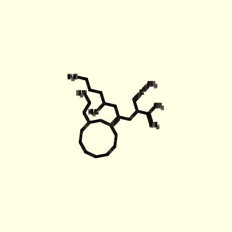 C=C=CC(C/C(CC(C)CCCC)=C1\CCCCCCCC(CCN)C1)C(=C)C